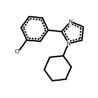 Clc1cccc(-c2nccn2C2CCCCC2)c1